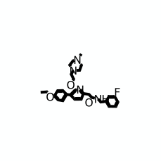 CCOc1ccc(-c2ccc(CC(=O)NCc3cccc(F)c3)nc2OCCN2CCN(C)CC2)cc1